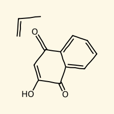 C=CC.O=C1C=C(O)C(=O)c2ccccc21